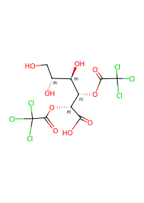 O=C(O)[C@H](OC(=O)C(Cl)(Cl)Cl)[C@@H](OC(=O)C(Cl)(Cl)Cl)[C@H](O)[C@H](O)CO